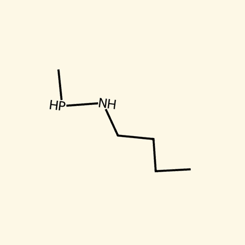 CCCCNPC